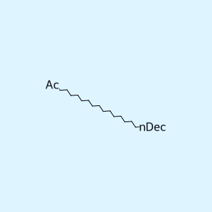 CCCCCCCCCCCCCCCCCCCCCCCCCC(C)=O